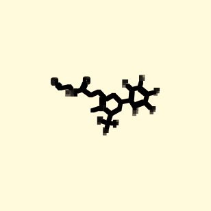 CNC(CC(CCCCC(=O)NCC=O)c1c(F)c(F)c(F)c(F)c1F)C(F)(F)F